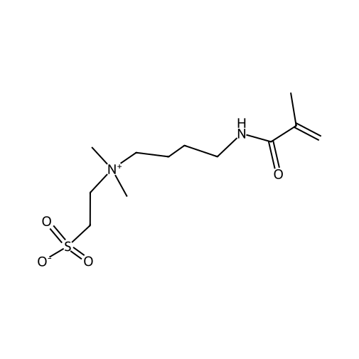 C=C(C)C(=O)NCCCC[N+](C)(C)CCS(=O)(=O)[O-]